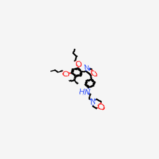 CCCCOc1cc(OCCCC)c(C(C)C)cc1-c1ncoc1-c1ccc(NCCN2CCOCC2)cc1